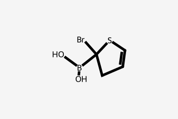 OB(O)C1(Br)CC=CS1